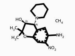 C.CC1(C)Oc2cc([N+](=O)[O-])c(N)cc2[C@@H](N2CCCCC2)[C@@H]1O